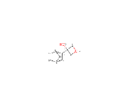 OC1(C2CC3CCC2C3)COC1